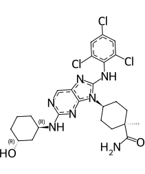 C[C@]1(C(N)=O)CC[C@@H](n2c(Nc3c(Cl)cc(Cl)cc3Cl)nc3cnc(N[C@@H]4CCC[C@@H](O)C4)nc32)CC1